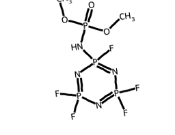 COP(=O)(NP1(F)=NP(F)(F)=NP(F)(F)=N1)OC